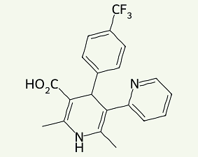 CC1=C(C(=O)O)C(c2ccc(C(F)(F)F)cc2)C(c2ccccn2)=C(C)N1